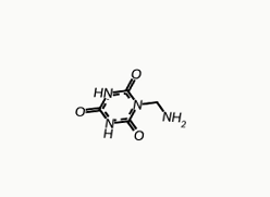 NCn1c(=O)[nH]c(=O)[nH]c1=O